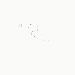 Cc1ccc(OCC2CC2)c(-c2ncnc3c(C(=O)N[C@H]4C[C@H](C)N(C(=O)[C@H](C)O)C4)c(C)[nH]c23)c1